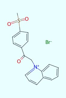 CS(=O)(=O)c1ccc(C(=O)C[n+]2cccc3ccccc32)cc1.[Br-]